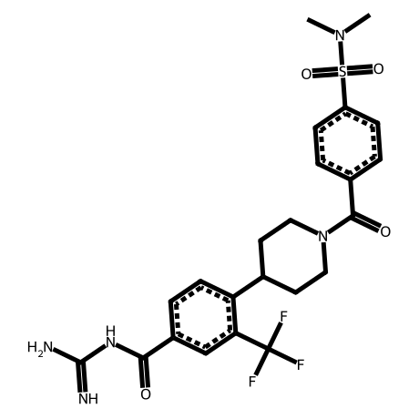 CN(C)S(=O)(=O)c1ccc(C(=O)N2CCC(c3ccc(C(=O)NC(=N)N)cc3C(F)(F)F)CC2)cc1